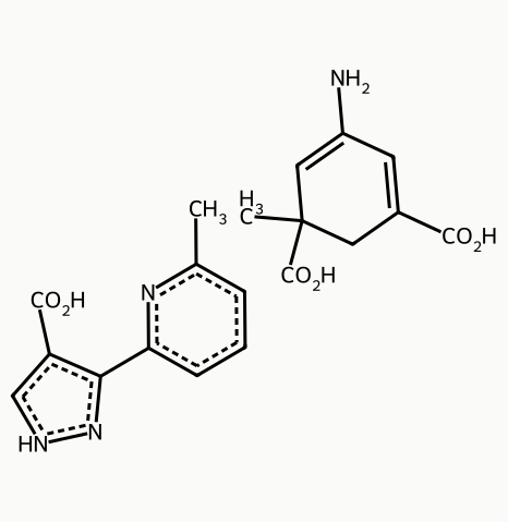 CC1(C(=O)O)C=C(N)C=C(C(=O)O)C1.Cc1cccc(-c2n[nH]cc2C(=O)O)n1